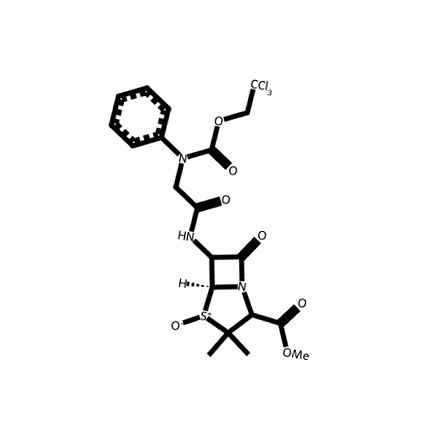 COC(=O)C1N2C(=O)C(NC(=O)CN(C(=O)OCC(Cl)(Cl)Cl)c3ccccc3)[C@@H]2[S+]([O-])C1(C)C